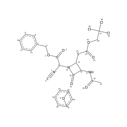 [C-]#[N+]C(C(=O)OCc1ccccc1)N1C(=O)C(NC(C)=O)C1SC(=O)OCC(Cl)(Cl)Cl.c1cc2cc(c1)O2